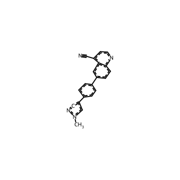 Cn1cc(-c2ccc(-c3ccc4nccc(C#N)c4c3)cc2)cn1